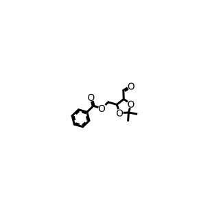 CC1(C)OC(C=O)C(COC(=O)c2ccccc2)O1